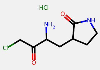 Cl.NC(CC1CCNC1=O)C(=O)CCl